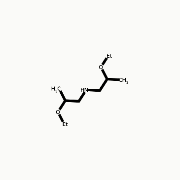 CCOC(C)CNCC(C)OCC